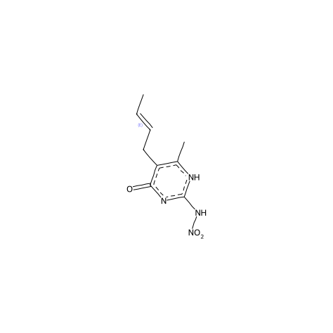 C/C=C/Cc1c(C)[nH]c(N[N+](=O)[O-])nc1=O